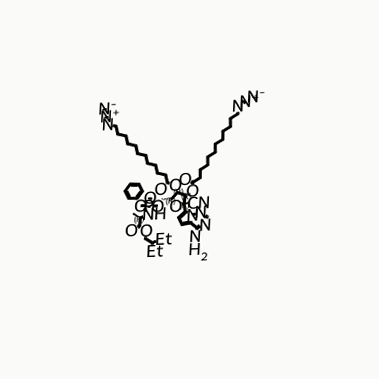 CCC(CC)COC(=O)[C@@H](C)NP(=O)(OC[C@H]1O[C@@](C#N)(c2ccc3c(N)ncnn23)[C@H](OC(=O)CCCCCCCCCCCN=[N+]=[N-])[C@@H]1OC(=O)CCCCCCCCCCCN=[N+]=[N-])Oc1ccccc1